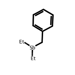 C[CH2][Sb]([CH2]C)[CH2]c1ccccc1